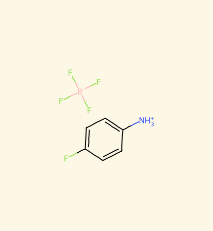 F[B-](F)(F)F.[NH3+]c1ccc(F)cc1